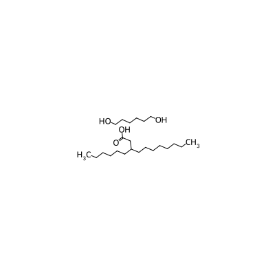 CCCCCCCCC(CCCCCC)CC(=O)O.OCCCCCCO